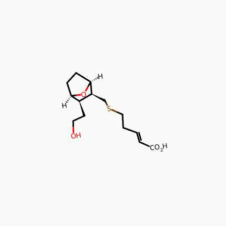 O=C(O)/C=C/CCSC[C@H]1[C@@H](CCO)[C@H]2CC[C@@H]1O2